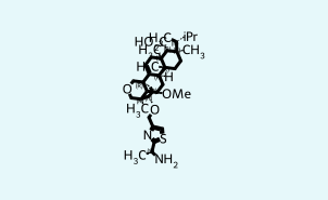 CO[C@@H]1C[C@@]23COC[C@@](C)(C2CC[C@H]2C3=CC[C@@]3(C)[C@H](C(=O)O)[C@@](C)([C@H](C)C(C)C)CC[C@]23C)[C@H]1OCc1csc([C@H](C)N)n1